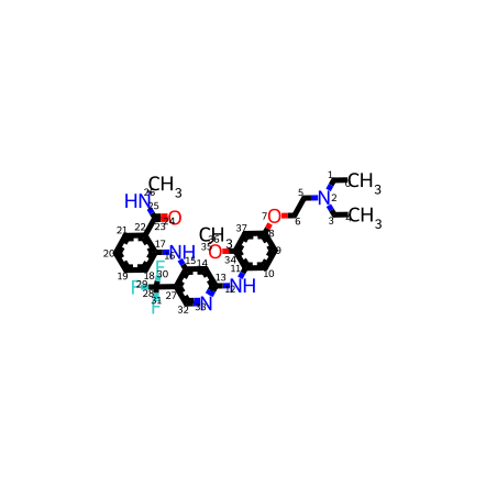 CCN(CC)CCOc1ccc(Nc2cc(Nc3ccccc3C(=O)NC)c(C(F)(F)F)cn2)c(OC)c1